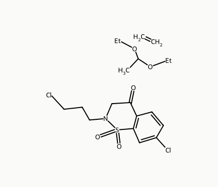 C=C.CCOC(C)OCC.O=C1CN(CCCCl)S(=O)(=O)c2cc(Cl)ccc21